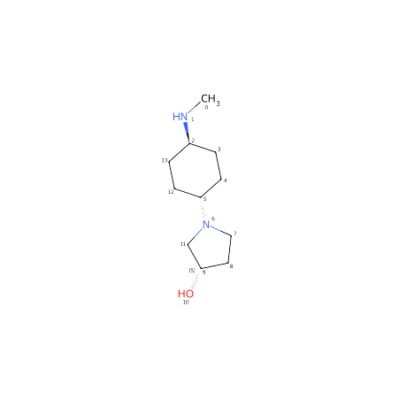 CN[C@H]1CC[C@H](N2CC[C@H](O)C2)CC1